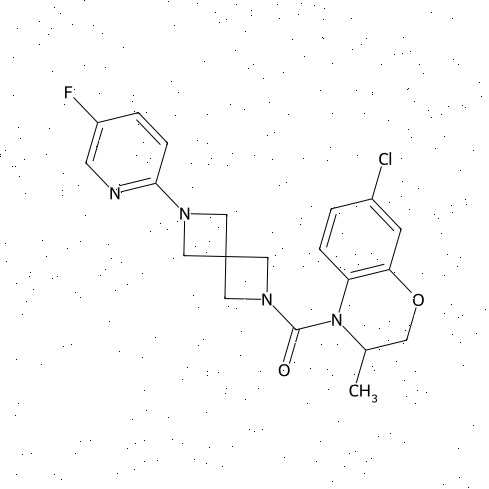 CC1COc2cc(Cl)ccc2N1C(=O)N1CC2(C1)CN(c1ccc(F)cn1)C2